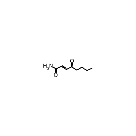 CCCCC(=O)C=CC(N)=O